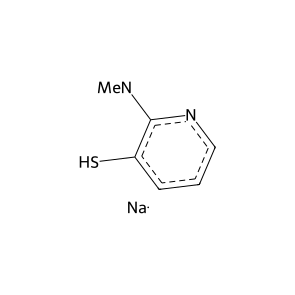 CNc1ncccc1S.[Na]